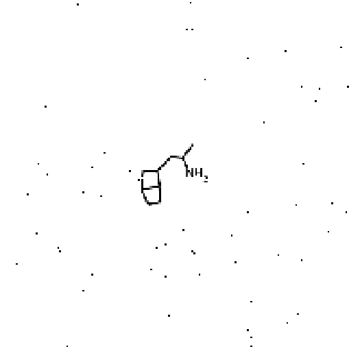 CC(N)CC1CC2CCC21